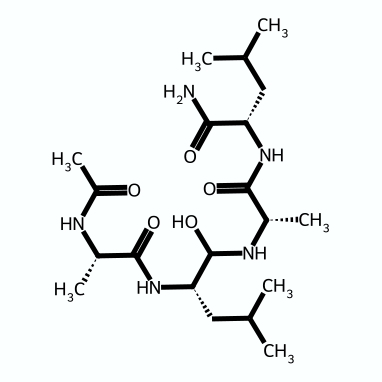 CC(=O)N[C@@H](C)C(=O)N[C@@H](CC(C)C)C(O)N[C@@H](C)C(=O)N[C@@H](CC(C)C)C(N)=O